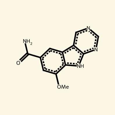 COc1cc(C(N)=O)cc2c1[nH]c1ncncc12